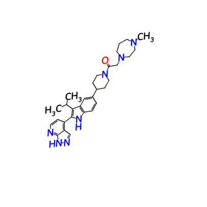 CC(C)c1c(-c2ccnc3[nH]ncc23)[nH]c2ccc(C3CCN(C(=O)CN4CCCN(C)CC4)CC3)cc12